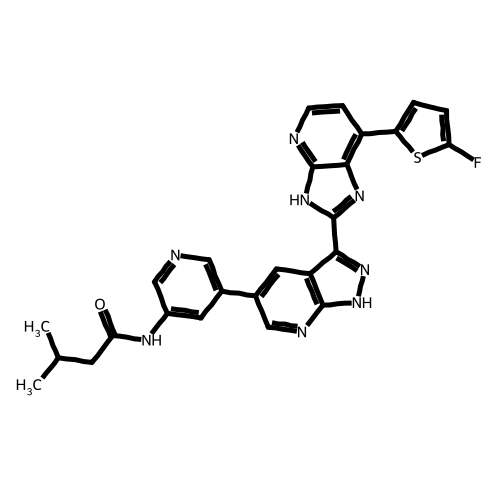 CC(C)CC(=O)Nc1cncc(-c2cnc3[nH]nc(-c4nc5c(-c6ccc(F)s6)ccnc5[nH]4)c3c2)c1